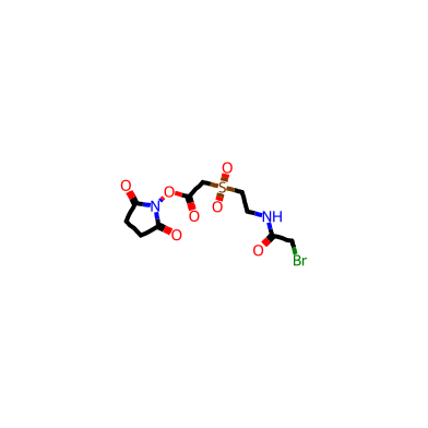 O=C(CBr)NCCS(=O)(=O)CC(=O)ON1C(=O)CCC1=O